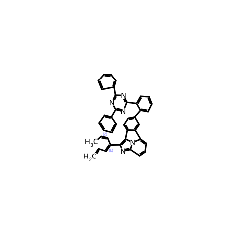 C=C/C=C(\C=C/C)c1nc2cccc3c4cc(-c5ccccc5-c5nc(-c6ccccc6)nc(-c6ccccc6)n5)ccc4c1n23